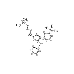 CN(C)CCCOc1cc(Cc2ccccc2)n(-c2cccc(C(F)(F)F)c2)n1